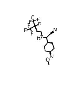 CON=C1CCC(C(C#N)PCCC(F)(C(F)(F)F)C(F)(F)F)CC1